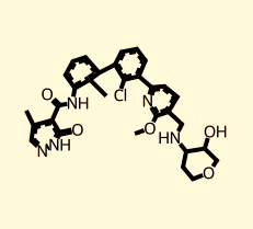 COc1nc(-c2cccc(-c3cccc(NC(=O)c4c(C)cn[nH]c4=O)c3C)c2Cl)ccc1CNC1CCOCC1O